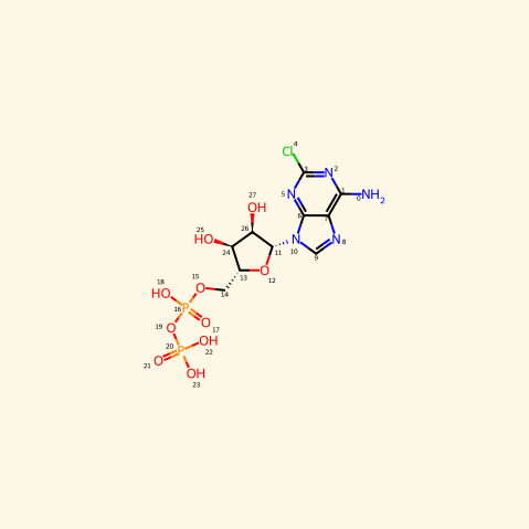 Nc1nc(Cl)nc2c1ncn2[C@@H]1O[C@H](COP(=O)(O)OP(=O)(O)O)[C@@H](O)[C@H]1O